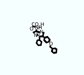 O=C(O)C(=O)Nc1cnn2c(C3CCCCC3)c(-c3ccc(OCc4ccccc4)cc3)cnc12